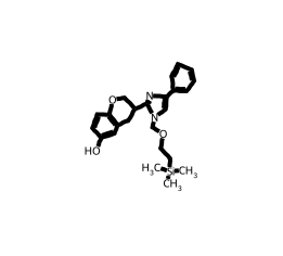 C[Si](C)(C)CCOCn1cc(-c2ccccc2)nc1C1COc2ccc(O)cc2C1